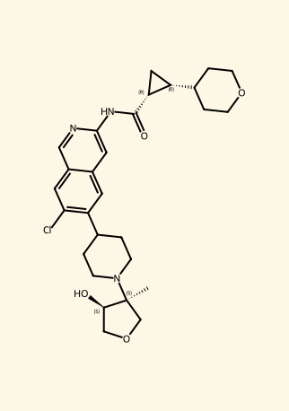 C[C@]1(N2CCC(c3cc4cc(NC(=O)[C@@H]5C[C@@H]5C5CCOCC5)ncc4cc3Cl)CC2)COC[C@H]1O